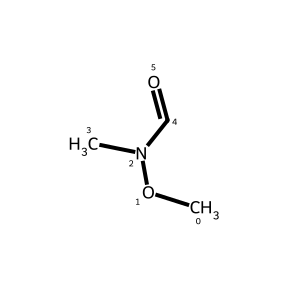 CON(C)C=O